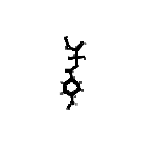 COC(=O)C(C)(C)CNc1ccc(OC)cc1